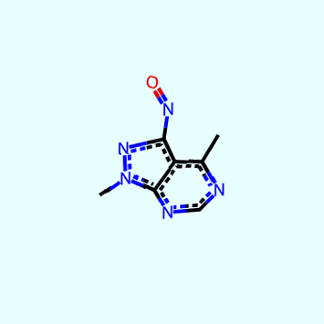 Cc1ncnc2c1c(N=O)nn2C